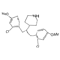 COc1ccc(CC(Cc2ccc(OC)cc2Cl)C2CCNCC2)c(Cl)c1